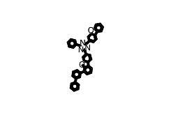 C1=CC2c3cccc(-c4cccc(-c5ccccc5)c4)c3OC2C=C1c1nc(C2=CC=C3c4ccccc4OC3C2)nc(-c2ccccc2)n1